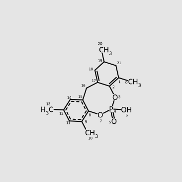 CC1=C2OP(=O)(O)Oc3c(C)cc(C)cc3CC2=CC(C)C1